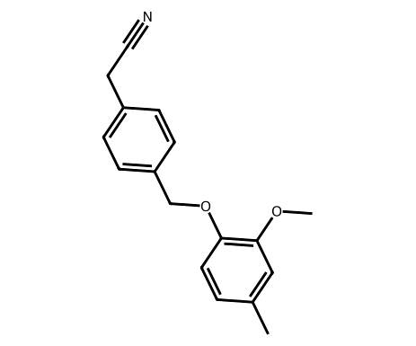 COc1cc(C)ccc1OCc1ccc(CC#N)cc1